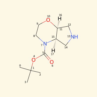 CC(C)(C)OC(=O)N1CCO[C@H]2CNC[C@H]21